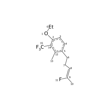 CCOc1ccc(CC/C=C(/C)F)c(C)c1C(F)(F)F